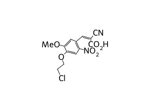 COc1cc(C=C(C#N)C(=O)O)c([N+](=O)[O-])cc1OCCCl